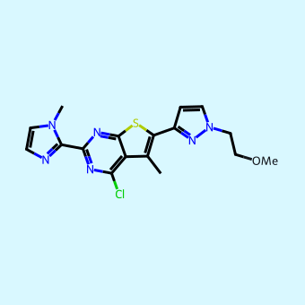 COCCn1ccc(-c2sc3nc(-c4nccn4C)nc(Cl)c3c2C)n1